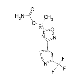 C[C@@H](OC(N)=O)c1nc(-c2ccnc(C(F)(F)F)c2)no1